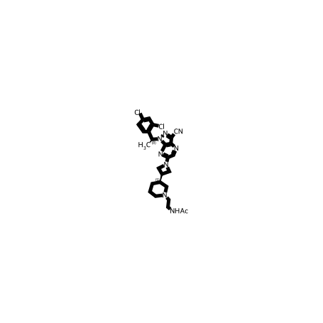 CC(=O)NCCN1CCC[C@@H](C2CN(c3cnc4c(C#N)nn([C@H](C)c5ccc(Cl)cc5Cl)c4n3)C2)C1